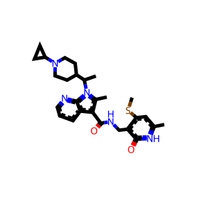 CSc1cc(C)[nH]c(=O)c1CNC(=O)c1c(C)n(C(C)C2CCN(C3CC3)CC2)c2ncccc12